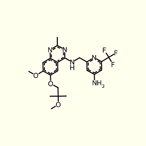 COc1cc2nc(C)nc(NCc3cc(N)cc(C(F)(F)F)n3)c2cc1OCC(C)(C)OC